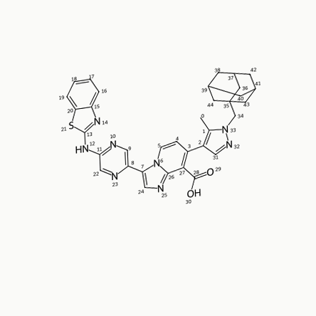 Cc1c(-c2ccn3c(-c4cnc(Nc5nc6ccccc6s5)cn4)cnc3c2C(=O)O)cnn1CC12CC3CC(CC(C3)C1)C2